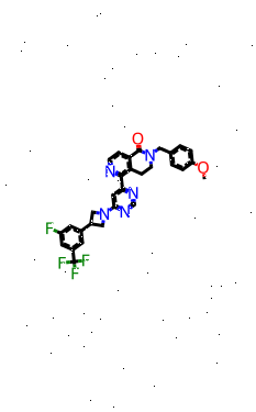 COc1ccc(CN2CCc3c(ccnc3-c3cc(N4CC(c5cc(F)cc(C(F)(F)F)c5)C4)ncn3)C2=O)cc1